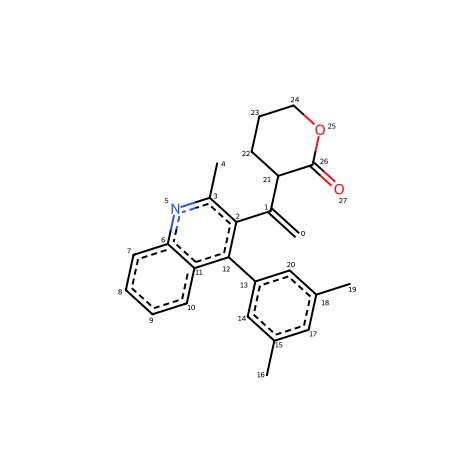 C=C(c1c(C)nc2ccccc2c1-c1cc(C)cc(C)c1)C1CCCOC1=O